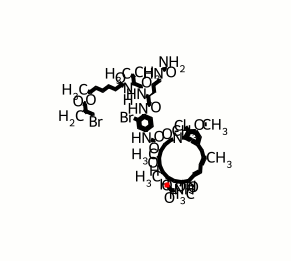 C=C(CBr)C(=O)OC(C)CCCCC(=O)N[C@H](C(=O)N[C@@H](CCCNC(N)=O)C(=O)Nc1ccc(NC(=O)O[C@H]2CC(=O)N(C)c3cc(cc(OC)c3Cl)C/C(C)=C/C=C/[C@@H](OC)[C@@]3(O)C[C@H](OC(=O)N3)[C@@H](C)[C@@H]3O[C@@]23C)cc1Br)C(C)C